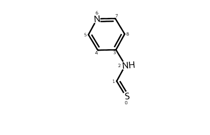 S=CNc1ccncc1